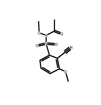 COc1cccc(S(=O)(=O)N(OC)C(C)=O)c1C#N